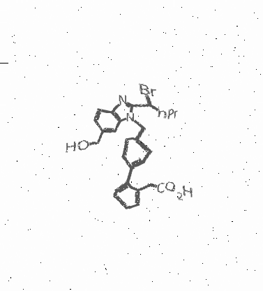 CCCC(Br)c1nc2ccc(CO)cc2n1Cc1ccc(-c2ccccc2CC(=O)O)cc1